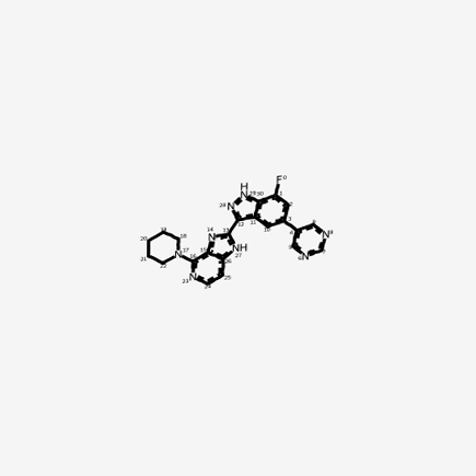 Fc1cc(-c2cncnc2)cc2c(-c3nc4c(N5CCCCC5)nccc4[nH]3)n[nH]c12